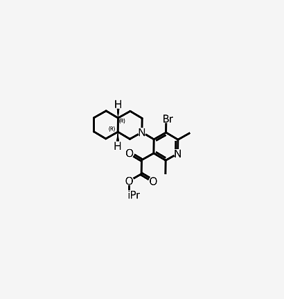 Cc1nc(C)c(C(=O)C(=O)OC(C)C)c(N2CC[C@H]3CCCC[C@H]3C2)c1Br